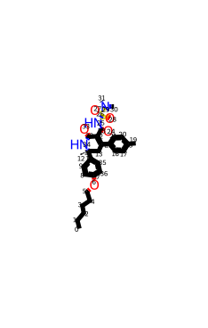 CCCCCCOc1ccc([C@]2(C)CC(c3ccc(C)cc3)=C(C(=O)NS(=O)(=O)N(C)C)C(=O)N2)cc1